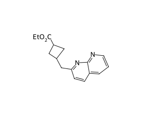 CCOC(=O)C1CC(Cc2ccc3cccnc3n2)C1